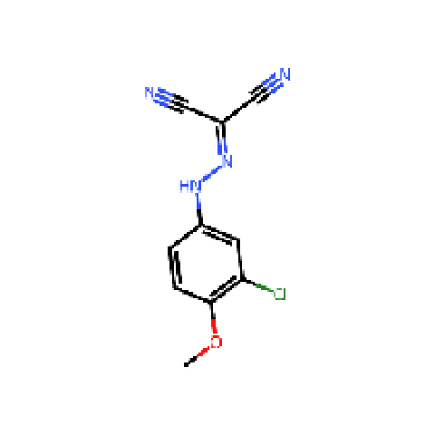 COc1ccc(NN=C(C#N)C#N)cc1Cl